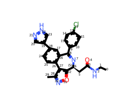 CCNC(=O)C[C@@H]1N=C(c2ccc(Cl)cc2)c2cc(-c3cn[nH]c3)ccc2-c2c(C)noc21